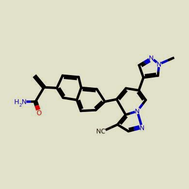 C=C(C(N)=O)c1ccc2cc(-c3cc(-c4cnn(C)c4)cn4ncc(C#N)c34)ccc2c1